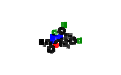 CC(=Cc1ccc(Cl)cc1)c1c(C)c(C(=O)N[C@H](C)c2ccccc2)nn1-c1ccc(Cl)cc1Cl